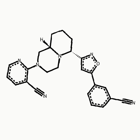 N#Cc1cccc(-c2cc([C@H]3CCC[C@H]4CN(c5ncccc5C#N)CCN43)no2)c1